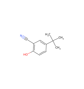 CC(C)(C)c1ccc(O)c(C#N)c1